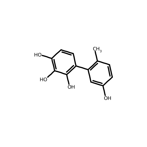 Cc1ccc(O)cc1-c1ccc(O)c(O)c1O